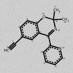 C#Cc1ccc2c(c1)C(c1ccccn1)=NC(C)(C)O2